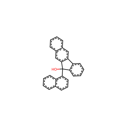 OC1(c2cccc3ccccc23)c2ccccc2-c2cc3ccccc3cc21